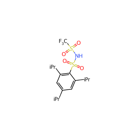 CC(C)c1cc(C(C)C)c(S(=O)(=O)NS(=O)(=O)C(F)(F)F)c(C(C)C)c1